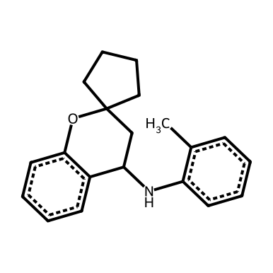 Cc1ccccc1NC1CC2(CCCC2)Oc2ccccc21